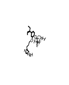 C/C=C(/CC)c1cccc(OCCCc2c[nH]cn2)c1.O=C(O)C(F)(F)F